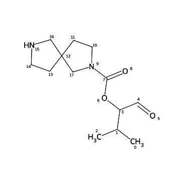 CC(C)C(C=O)OC(=O)N1CCC2(CCNC2)C1